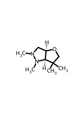 CN1C[C@H]2OCC(C)(C)[C@H]2N1C